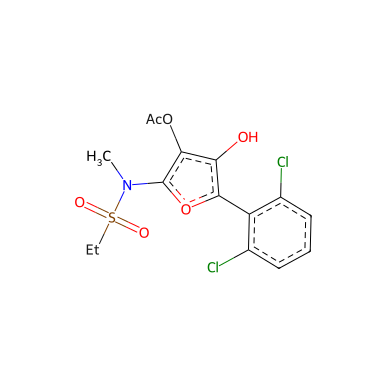 CCS(=O)(=O)N(C)c1oc(-c2c(Cl)cccc2Cl)c(O)c1OC(C)=O